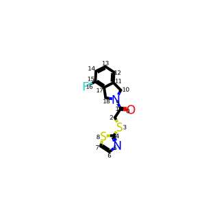 O=C(CSc1nccs1)N1Cc2cccc(F)c2C1